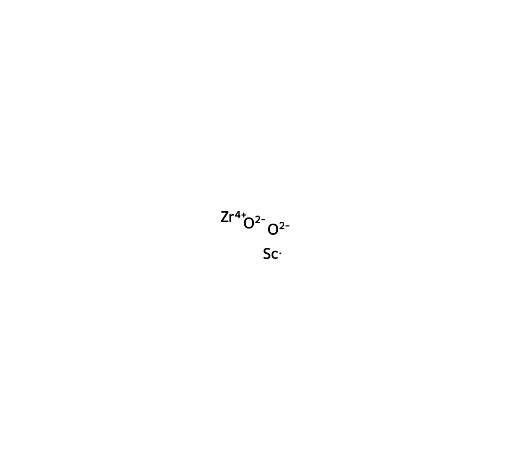 [O-2].[O-2].[Sc].[Zr+4]